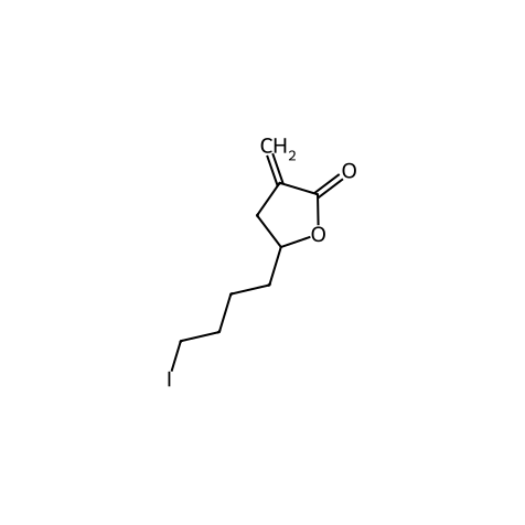 C=C1CC(CCCCI)OC1=O